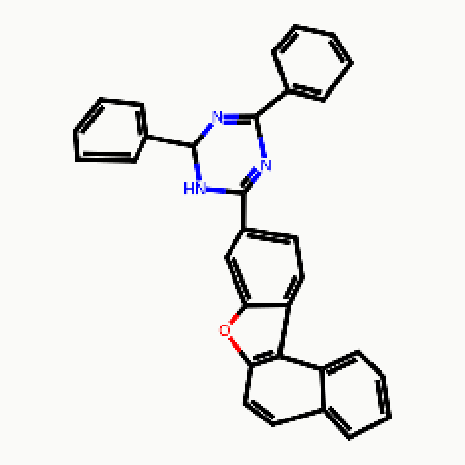 c1ccc(C2=NC(c3ccccc3)NC(c3ccc4c(c3)oc3ccc5ccccc5c34)=N2)cc1